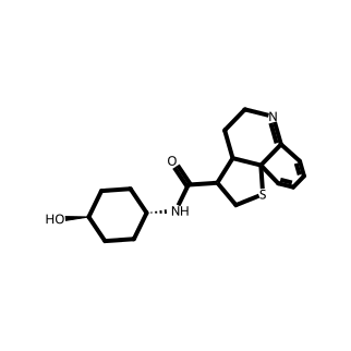 O=C(N[C@H]1CC[C@H](O)CC1)C1CSC23C=CC=CC2=NCCC13